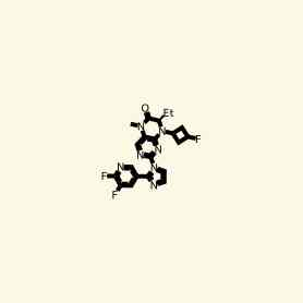 CC[C@@H]1C(=O)N(C)c2cnc(-n3ccnc3-c3cnc(F)c(F)c3)nc2N1C1CC(F)C1